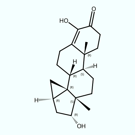 C[C@]12CCC(=O)C(O)=C1CC[C@@H]1[C@@H]2CC[C@]2(C)[C@H](O)C[C@H]3C[C@@]312